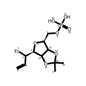 C=CC(CC)[C@H]1O[C@@H](COP(=O)(O)O)C2OC(C)(C)OC21